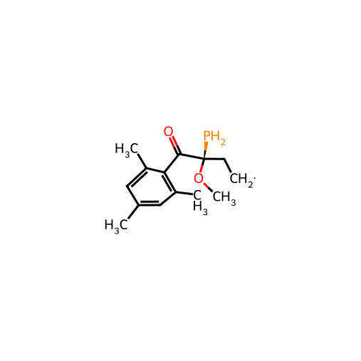 [CH2]C[C@](P)(OC)C(=O)c1c(C)cc(C)cc1C